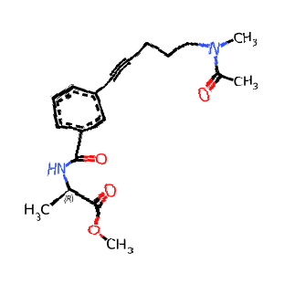 COC(=O)[C@@H](C)NC(=O)c1cccc(C#CCCCN(C)C(C)=O)c1